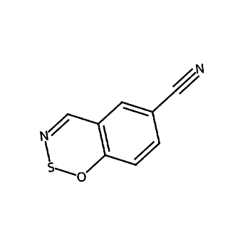 N#Cc1ccc2c(c1)C=NSO2